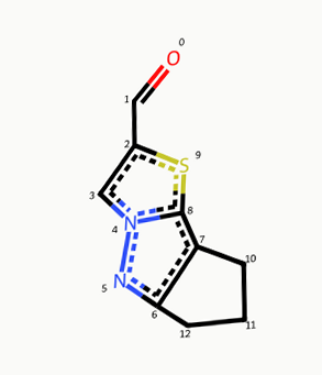 O=Cc1cn2nc3c(c2s1)CCC3